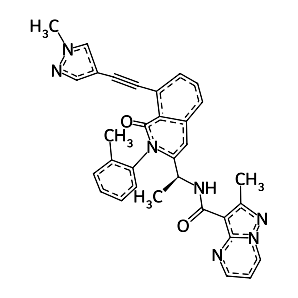 Cc1ccccc1-n1c([C@H](C)NC(=O)c2c(C)nn3cccnc23)cc2cccc(C#Cc3cnn(C)c3)c2c1=O